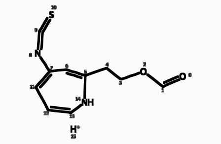 O=COCCC1=CC(N=C=S)=CC=CN1.[H+]